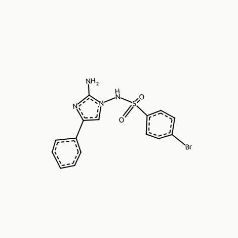 Nc1nc(-c2ccccc2)cn1NS(=O)(=O)c1ccc(Br)cc1